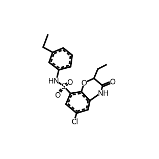 CCc1cccc(NS(=O)(=O)c2cc(Cl)cc3c2OC(CC)C(=O)N3)c1